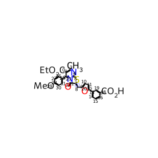 CCOC(=O)C1=C(C)N=c2s/c(=C\c3ccc(-c4cccc(C(=O)O)c4)o3)c(=O)n2C1c1ccc(OC)cc1